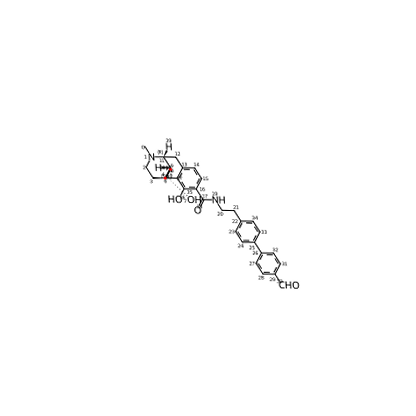 CN1CC[C@]23C[C@@H](O)C=C[C@H]2[C@H]1Cc1ccc(C(=O)NCCc2ccc(-c4ccc(C=O)cc4)cc2)c(O)c13